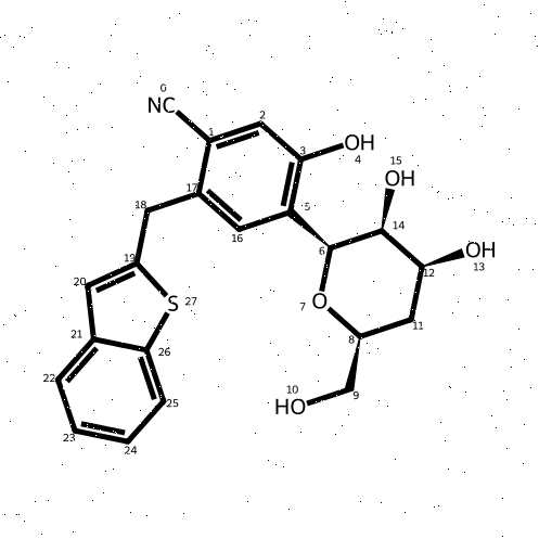 N#Cc1cc(O)c([C@@H]2O[C@H](CO)C[C@H](O)[C@@H]2O)cc1Cc1cc2ccccc2s1